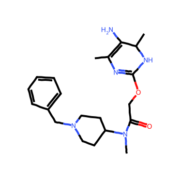 CC1=C(N)C(C)NC(OCC(=O)N(C)C2CCN(Cc3ccccc3)CC2)=N1